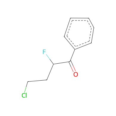 O=C(c1ccccc1)C(F)CCCl